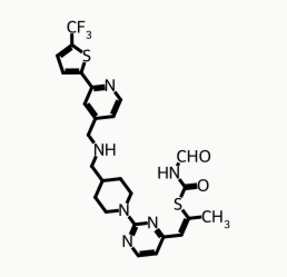 C/C(=C/c1ccnc(N2CCC(CNCc3ccnc(-c4ccc(C(F)(F)F)s4)c3)CC2)n1)SC(=O)NC=O